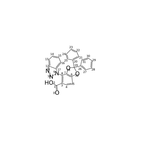 O=C(O)c1ccc2c(c1-n1nnc3ccccc31)OC(c1ccccc1)(c1ccccc1)O2